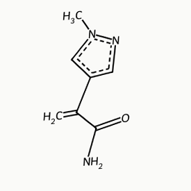 C=C(C(N)=O)c1cnn(C)c1